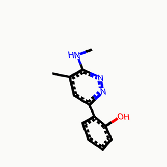 CNc1nnc(-c2ccccc2O)cc1C